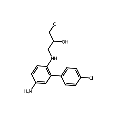 Nc1ccc(NCC(O)CO)c(-c2ccc(Cl)cc2)c1